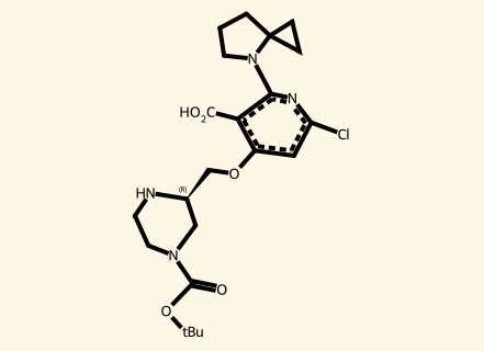 CC(C)(C)OC(=O)N1CCN[C@@H](COc2cc(Cl)nc(N3CCCC34CC4)c2C(=O)O)C1